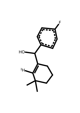 [2H]C1=C(C(O)c2ccc(F)cc2)CCCC1(C)C